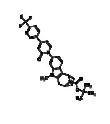 Cn1c2c(c3ccc(-n4ccc(-c5ccc(C(F)(F)F)nc5)cc4=O)cc31)C1CCC(C2)N1C(=O)OC(C)(C)C